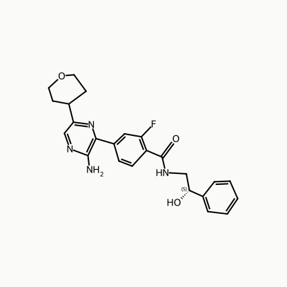 Nc1ncc(C2CCOCC2)nc1-c1ccc(C(=O)NC[C@@H](O)c2ccccc2)c(F)c1